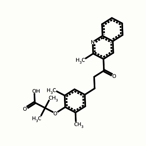 Cc1cc(CCC(=O)c2cc3ccccc3nc2C)cc(C)c1OC(C)(C)C(=O)O